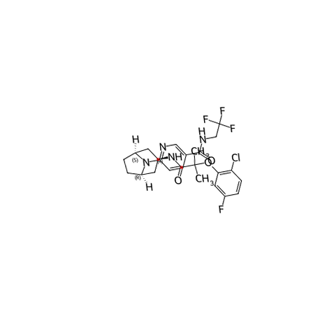 CC(C)(Oc1cc(F)ccc1Cl)C(=O)N[C@H]1C[C@H]2CC[C@@H](C1)N2c1ccc(C(=O)NCC(F)(F)F)cn1